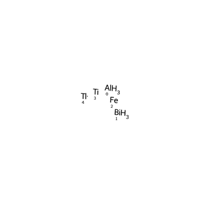 [AlH3].[BiH3].[Fe].[Ti].[Tl]